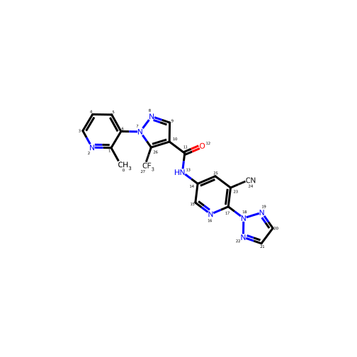 Cc1ncccc1-n1ncc(C(=O)Nc2cnc(-n3nccn3)c(C#N)c2)c1C(F)(F)F